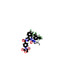 CN(C(=O)N(C)[C@@H]1CN(C(=O)C2CCC(N3C(=O)COC3=O)CC2)C[C@H]1c1ccc(F)cc1)c1cc(C(F)(F)F)cc(C(F)(F)F)c1